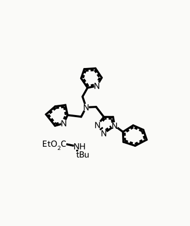 CCOC(=O)NC(C)(C)C.c1ccc(-n2cc(CN(Cc3ccccn3)Cc3ccccn3)nn2)cc1